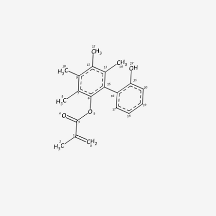 C=C(C)C(=O)Oc1c(C)c(C)c(C)c(C)c1-c1ccccc1O